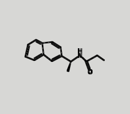 CCC(=O)N[C@@H](C)c1ccc2ccccc2c1